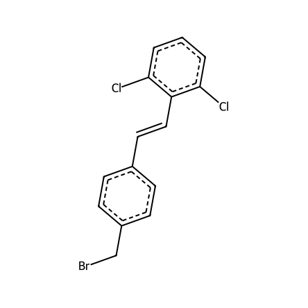 Clc1cccc(Cl)c1C=Cc1ccc(CBr)cc1